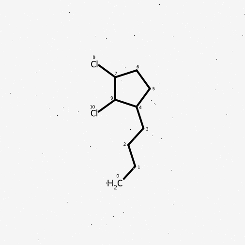 [CH2]CCCC1CCC(Cl)C1Cl